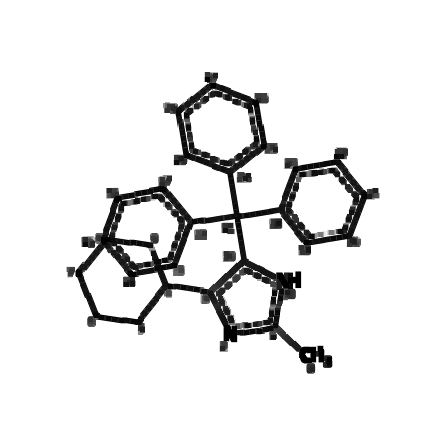 Cc1nc(C2CCCCC2)c(C(c2ccccc2)(c2ccccc2)c2ccccc2)[nH]1